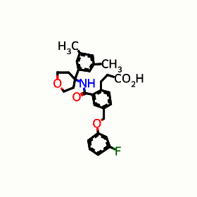 Cc1cc(C)cc(C2(NC(=O)c3cc(COc4cccc(F)c4)ccc3CCC(=O)O)CCOCC2)c1